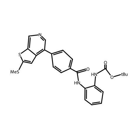 CSc1cc2c(-c3ccc(C(=O)Nc4ccccc4NC(=O)OC(C)(C)C)cc3)cncc2s1